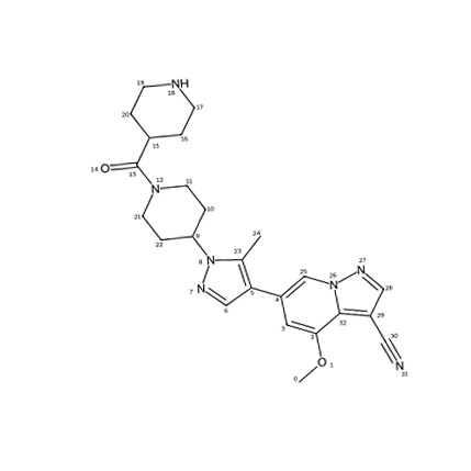 COc1cc(-c2cnn(C3CCN(C(=O)C4CCNCC4)CC3)c2C)cn2ncc(C#N)c12